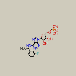 CC(Nc1ncnc2c1ncn2[C@@H]1O[C@H](COCP(=O)(O)O)[C@@H](O)[C@H]1O)c1cccc(F)c1